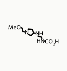 COCCN1CCC(NCCNC(=O)O)CC1